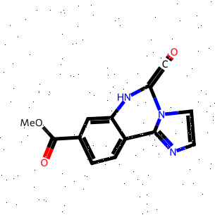 COC(=O)c1ccc2c(c1)NC(=C=O)n1ccnc1-2